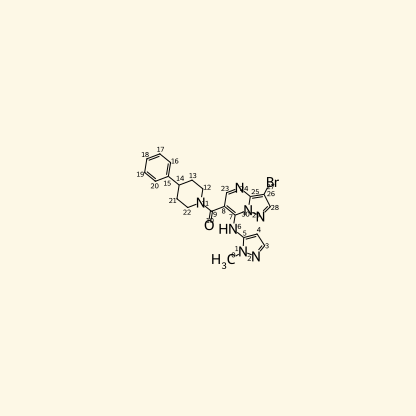 Cn1nccc1Nc1c(C(=O)N2CCC(c3ccccc3)CC2)cnc2c(Br)cnn12